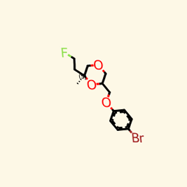 C[C@]1(CCF)COCC(COc2ccc(Br)cc2)O1